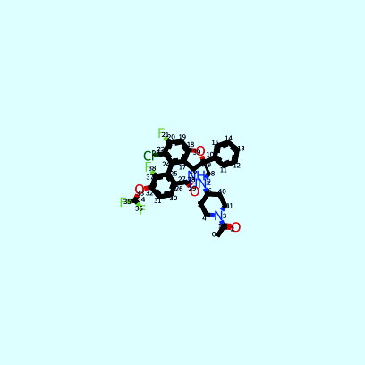 CC(=O)N1CCC(NC[C@@]2(c3ccccc3)Cc3c(cc(F)c(Cl)c3-c3c(C(N)=O)ccc(OC(F)F)c3F)O2)CC1